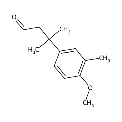 COc1ccc(C(C)(C)CC=O)cc1C